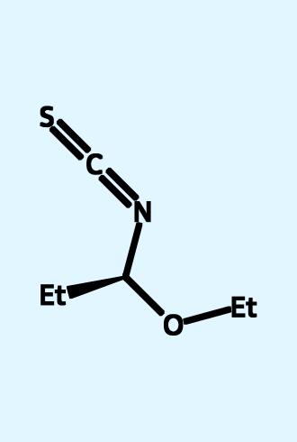 CCO[C@@H](CC)N=C=S